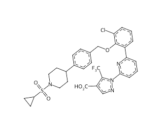 O=C(O)c1cnn(-c2cccc(-c3cccc(Cl)c3OCc3ccc(C4CCN(S(=O)(=O)C5CC5)CC4)cc3)n2)c1C(F)(F)F